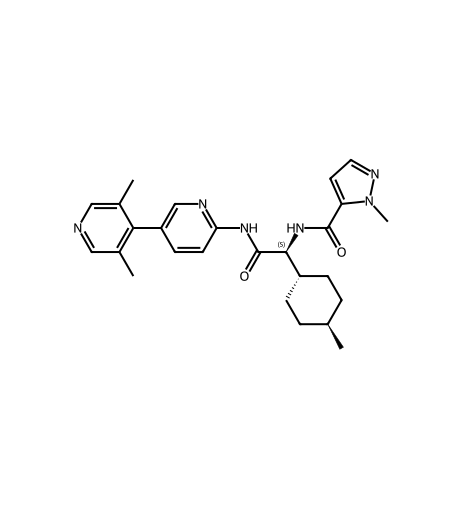 Cc1cncc(C)c1-c1ccc(NC(=O)[C@@H](NC(=O)c2ccnn2C)[C@H]2CC[C@H](C)CC2)nc1